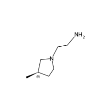 C[C@@H]1CCN(CCN)C1